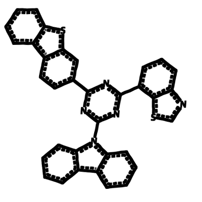 c1cc(-c2nc(-c3ccc4c(c3)sc3ccccc34)nc(-n3c4ccccc4c4ccccc43)n2)c2scnc2c1